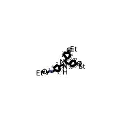 CCOC/C=C/c1ccc(-c2nc(-c3ccc(OCC)cc3)c(-c3ccc(OCC)cc3)[nH]2)cc1